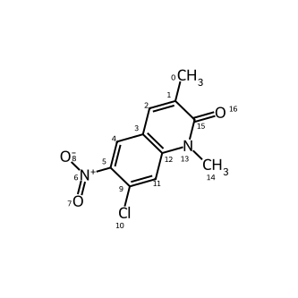 Cc1cc2cc([N+](=O)[O-])c(Cl)cc2n(C)c1=O